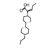 CCC=C(C(=O)O)[C@H]1CC[C@H]([C@H]2CC[C@H](CCC)CC2)CC1